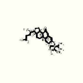 CC(C)[Si](O[C@H]1CC[C@@]2(C)C(=CC(=O)[C@H]3[C@@H]4CC[C@H]([C@H](C)CCC(=O)O)[C@@]4(C)CC[C@@H]32)C1)(C(C)C)C(C)C